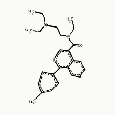 CCN(CC)CCN(CC)C(=O)c1cnc(-c2ccc(C)cc2)c2ccccc12